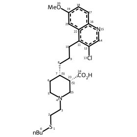 CCCCSCCN1CC[C@H](CCCc2c(Cl)cnc3ccc(OC)cc23)[C@H](C(=O)O)C1